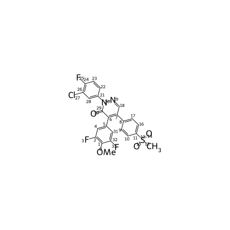 COc1c(F)cc(-c2c(-c3ccc(S(C)(=O)=O)cc3)cnn(-c3ccc(F)c(Cl)c3)c2=O)cc1F